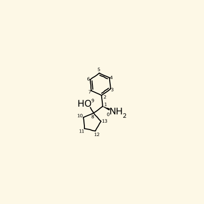 N[C@H](c1ccccc1)C1(O)CCCC1